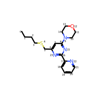 CCCCSCc1cc(N2CCOCC2)nc(-c2ccccn2)n1